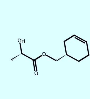 C[C@H](O)C(=O)OC[C@@H]1CC=CCC1